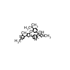 Cc1nn(C)cc1C1CC(=O)N(c2cncc(C(O)(c3ccc(C(C)C)cc3)C3(C)CN(C)C3)c2)C1